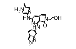 C=C/C=N\C(=C/N)Nc1cc2ccn(CCO)c(=O)c2c(Nc2ccc3cn(C)nc3c2)n1